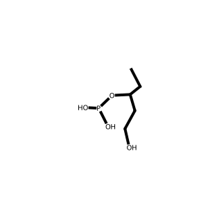 CCC(CCO)OP(O)O